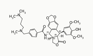 COc1cc([C@@H]2c3cc4c(cc3[C@@H](NC(=O)c3ccc(CN(C)CCCN(C)C)cc3)[C@H]3COC(=O)[C@H]23)OCO4)cc(OC)c1O